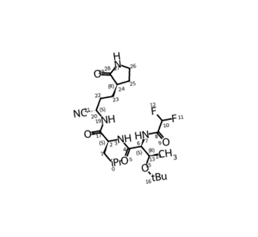 CC(C)C[C@H](NC(=O)[C@@H](NC(=O)C(F)F)[C@@H](C)OC(C)(C)C)C(=O)N[C@H](C#N)CC[C@@H]1CCNC1=O